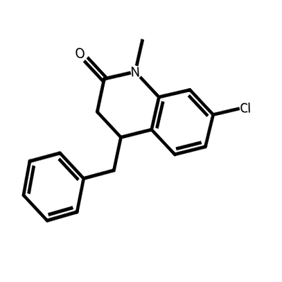 CN1C(=O)CC(Cc2ccccc2)c2ccc(Cl)cc21